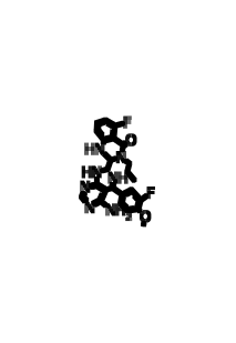 CCCN1C(=O)c2c(F)cccc2NC1CNc1ncnc(N)c1C(=N)c1ccc(OC)c(F)c1